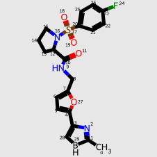 CC1=NC(c2ccc(CNC(=O)C3CCCN3S(=O)(=O)c3ccc(F)cc3)o2)=CB1